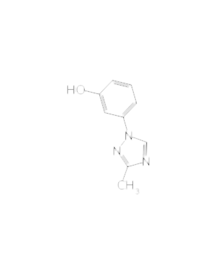 Cc1ncn(-c2cccc(O)c2)n1